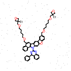 CCC1(COCCCCCOCc2ccc3oc4cc5c(cc4c3c2)c2cc(COCCCCCOCC3(CC)COC3)c3ccccc3c2n5-c2nc(-c3ccccc3)c3ccccc3n2)COC1